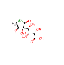 CC(=O)[C@](O)(C(=O)Br)[C@@H](O)[C@H](O)[C@H](O)C(=O)O